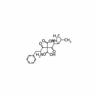 CC(C)CC(N)C(=O)C(C(=O)O)(C(=O)O)C(=O)C(N)Cc1ccccc1